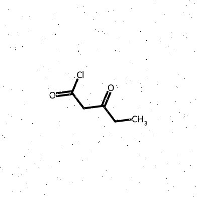 CCC(=O)CC(=O)Cl